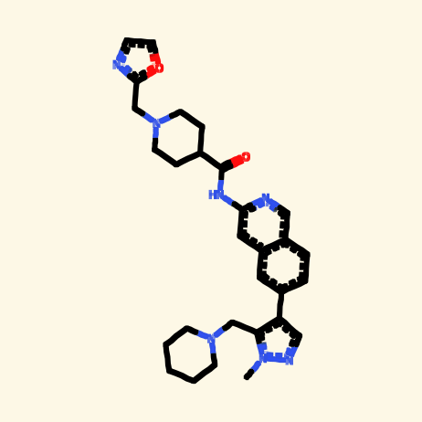 Cn1ncc(-c2ccc3cnc(NC(=O)C4CCN(Cc5ncco5)CC4)cc3c2)c1CN1CCCCC1